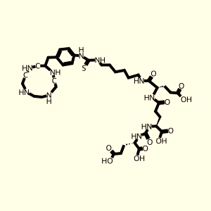 O=C(O)CC[C@H](NC(=O)N[C@@H](CCC(=O)N[C@@H](CCC(=O)O)C(=O)NCCCCCCNC(=S)Nc1ccc(CC2CNCCNCCNCCN2)cc1)C(=O)O)C(=O)O